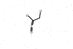 O=C=C(Cl)CCl